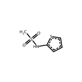 CS(=O)(=O)Nc1cccs1